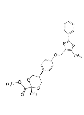 COC(=O)[C@]1(C)OC[C@@H](c2ccc(OCc3nc(-c4ccccc4)oc3C)cc2)CO1